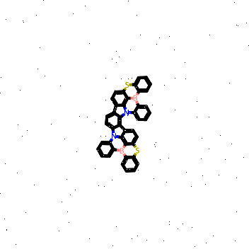 c1ccc2c(c1)Sc1ccc3c4c(ccc5c6ccc7c8c6n(c54)-c4ccccc4B8c4ccccc4S7)n4c3c1B2c1ccccc1-4